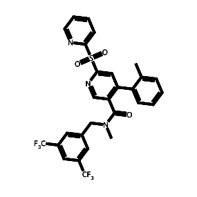 Cc1ccccc1-c1cc(S(=O)(=O)c2ccccn2)ncc1C(=O)N(C)Cc1cc(C(F)(F)F)cc(C(F)(F)F)c1